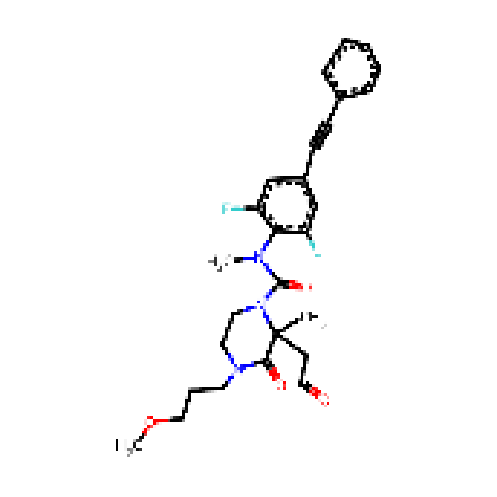 COCCCN1CCN(C(=O)N(C)c2c(F)cc(C#Cc3ccccc3)cc2F)C(C)(CC=O)C1=O